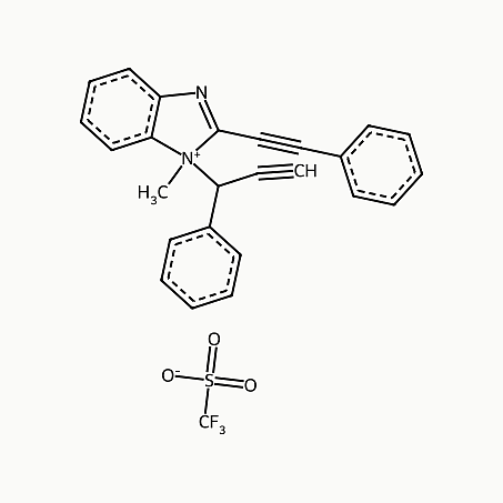 C#CC(c1ccccc1)[N+]1(C)C(C#Cc2ccccc2)=Nc2ccccc21.O=S(=O)([O-])C(F)(F)F